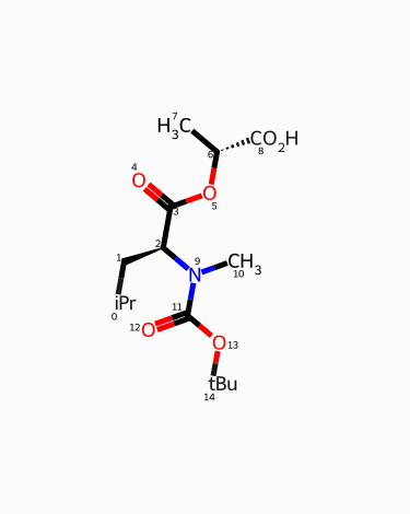 CC(C)C[C@@H](C(=O)O[C@H](C)C(=O)O)N(C)C(=O)OC(C)(C)C